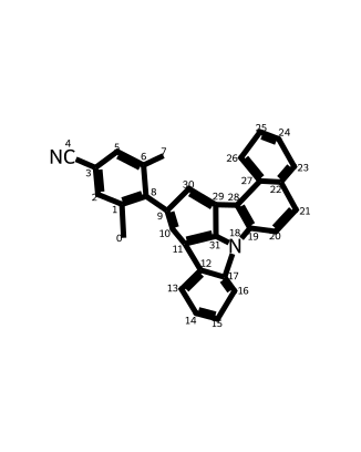 Cc1cc(C#N)cc(C)c1-c1cc2c3ccccc3n3c4ccc5ccccc5c4c(c1)c23